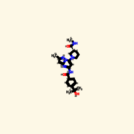 CNC(=O)[C@@H]1CCCN(c2cc(NC(=O)c3ccc(C(C)(C)O)cc3)nc3cc(C)nn23)C1